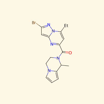 CCc1cc(C(=O)N2CCn3cccc3C2C)nc2cc(Br)nn12